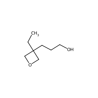 CCC1(CCCO)COC1